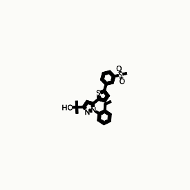 CCc1ccccc1-n1nc(C(C)(C)O)cc1-c1ccc(-c2cccc(S(C)(=O)=O)c2)s1